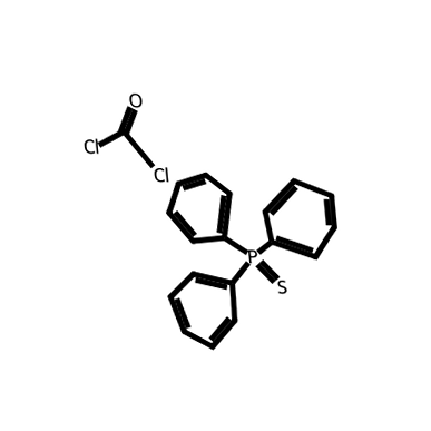 O=C(Cl)Cl.S=P(c1ccccc1)(c1ccccc1)c1ccccc1